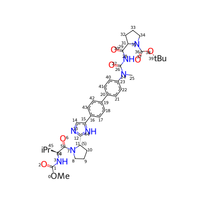 COC(=O)N[C@H](C(=O)N1CCC[C@H]1c1ncc(-c2ccc(-c3ccc(N(C)C(=O)NC(=O)C4CCCN4C(=O)OC(C)(C)C)cc3)cc2)[nH]1)C(C)C